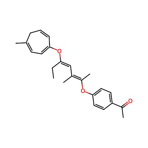 CC/C(=C\C(C)=C(/C)Oc1ccc(C(C)=O)cc1)OC1=CC=C(C)CC=C1